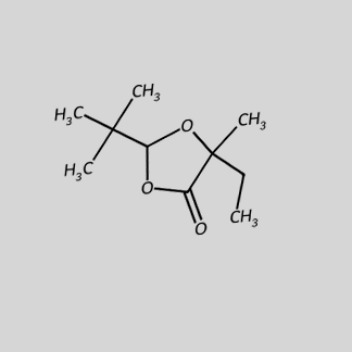 CCC1(C)OC(C(C)(C)C)OC1=O